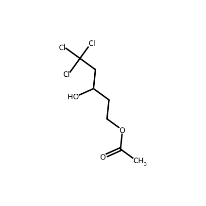 CC(=O)OCCC(O)CC(Cl)(Cl)Cl